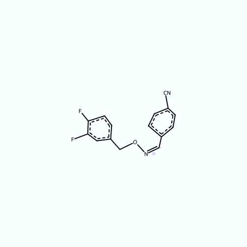 N#Cc1ccc(/[C]=N\OCc2ccc(F)c(F)c2)cc1